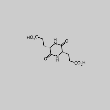 O=C(O)CC[C@@H]1NC(=O)[C@H](CCC(=O)O)NC1=O